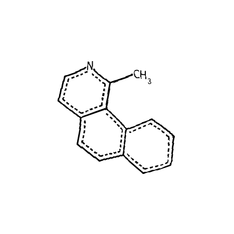 Cc1nccc2ccc3ccccc3c12